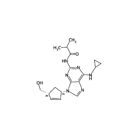 CC(C)C(=O)Nc1nc(NC2CC2)c2ncn([C@@H]3C=C[C@H](CO)C3)c2n1